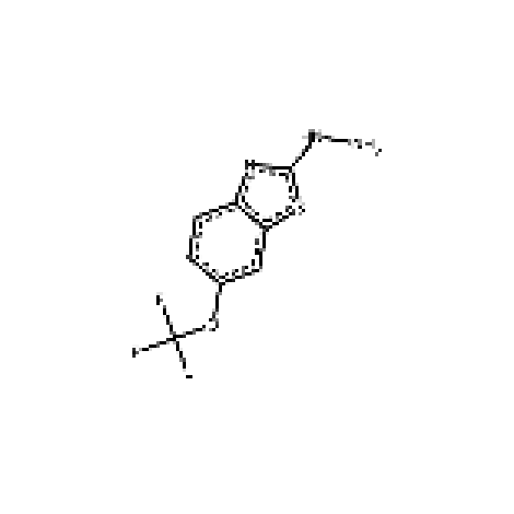 NNc1nc2ccc(OC(F)(F)F)cc2s1